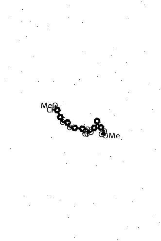 COC(=O)Oc1ccc(C2(c3ccc(OC(=O)Oc4ccc(-c5ccc(Oc6cccc(Oc7ccc(-c8ccc(OC)c(Cl)c8)cc7)c6)cc5)cc4Cl)cc3)CCCCC2)cc1